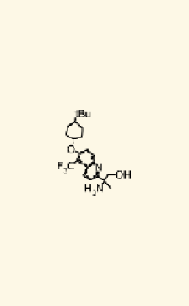 CC(N)(CO)c1ccc2c(C(F)(F)F)c(O[C@H]3CC[C@H](C(C)(C)C)CC3)ccc2n1